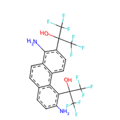 Nc1ccc2ccc3c(N)c(C(O)(C(F)(F)F)C(F)(F)F)ccc3c2c1C(O)(C(F)(F)F)C(F)(F)F